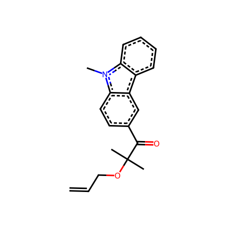 C=CCOC(C)(C)C(=O)c1ccc2c(c1)c1ccccc1n2C